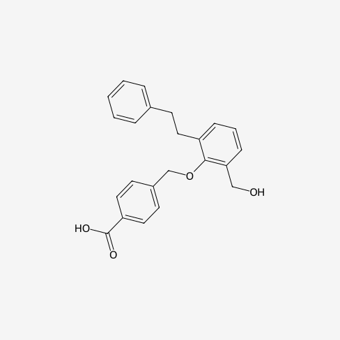 O=C(O)c1ccc(COc2c(CO)cccc2CCc2ccccc2)cc1